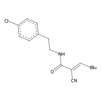 CC(C)(C)C=C(C#N)C(=O)NCCc1ccc(Cl)cc1